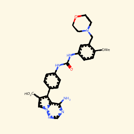 COc1ccc(NC(=O)Nc2ccc(-c3c(C(=O)O)cn4ncnc(N)c34)cc2)cc1CN1CCOCC1